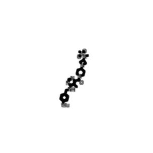 Cc1c(NCc2ccc(C(C)(C)C)cc2)ncnc1C(=O)N1CCC(N2CC(N(C)S(C)(=O)=O)C2)CC1